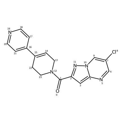 O=C(c1cc2ncc(Cl)cn2n1)N1CC=C(c2ccncc2)CC1